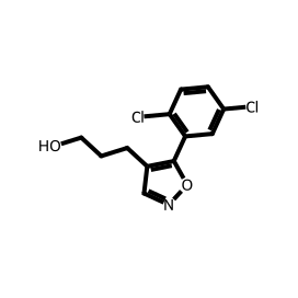 OCCCc1cnoc1-c1cc(Cl)ccc1Cl